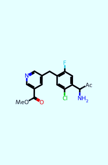 COC(=O)c1cncc(Cc2cc(Cl)c(C(N)C(C)=O)cc2F)c1